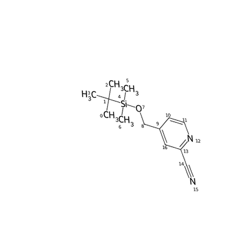 CC(C)(C)[Si](C)(C)OCc1ccnc(C#N)c1